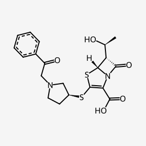 C[C@H](O)[C@@H]1C(=O)N2C(C(=O)O)=C(S[C@H]3CCN(CC(=O)c4ccccc4)C3)S[C@H]12